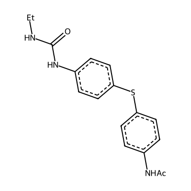 CCNC(=O)Nc1ccc(Sc2ccc(NC(C)=O)cc2)cc1